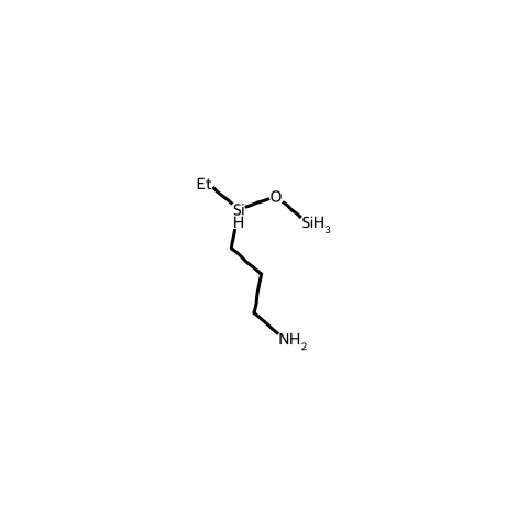 CC[SiH](CCCN)O[SiH3]